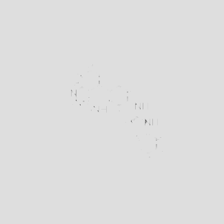 Cn1nc(N)c2c(-c3ccc(NC(=O)Nc4ccccc4)cc3)cccc21